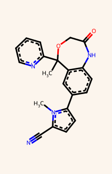 Cn1c(C#N)ccc1-c1ccc2c(c1)C(C)(c1ccccn1)OCC(=O)N2